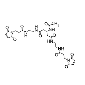 CC(=O)NC(CC(=O)NCCNC(=O)CCN1C(=O)C=CC1=O)CC(=O)NCCNC(=O)CCN1C(=O)C=CC1=O